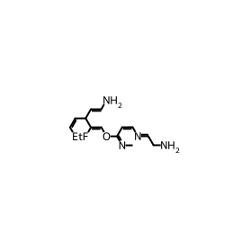 CC/C=C\C(/C=C/N)/C(F)=C/OC(/C=C\N=C\CN)=N/C